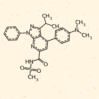 CC(C)c1nn(-c2ccccc2)c2nc(C(=O)NS(C)(=O)=O)cc(-c3ccc(N(C)C)cc3)c12